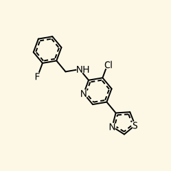 Fc1ccccc1CNc1ncc(-c2cscn2)cc1Cl